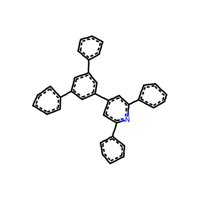 c1ccc(-c2cc(-c3ccccc3)cc(-c3cc(-c4ccccc4)nc(-c4ccccc4)c3)c2)cc1